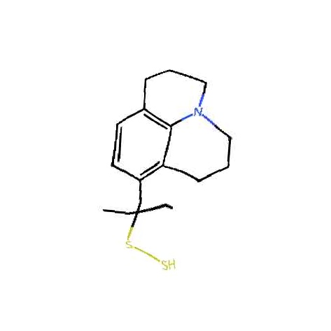 CC(C)(SS)c1ccc2c3c1CCCN3CCC2